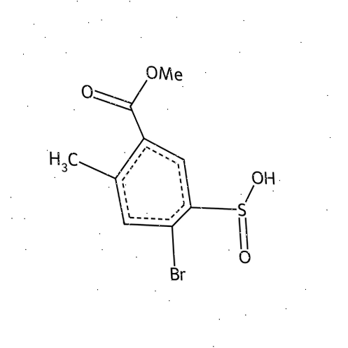 COC(=O)c1cc(S(=O)O)c(Br)cc1C